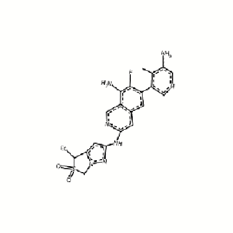 CCC1c2cc(Nc3cc4cc(-c5cncc(N)c5C)c(F)c(N)c4cn3)nn2CS1(=O)=O